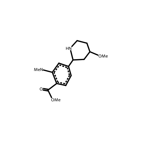 CNc1cc(C2CC(OC)CCN2)ccc1C(=O)OC